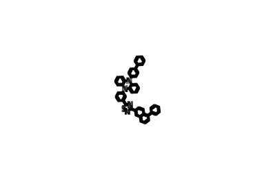 c1ccc(-c2ccc(N3c4ccccc4N(c4cccc(-c5nc(-c6ccc7c(-c8ccccc8)cccc7c6)ns5)c4)c4ccccc43)cc2)cc1